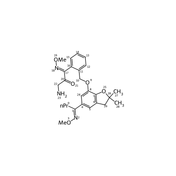 CCCC(=NOC)c1cc2c(c(OCc3ccccc3/C(=N\OC)C(=O)CN)c1)OC(C)(C)C2